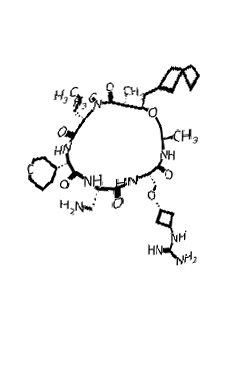 CCC[C@H]1C(=O)N[C@@H](C2CCCCCC2)C(=O)N[C@@H](CN)C(=O)N[C@@H](CO[C@H]2C[C@H](NC(=N)N)C2)C(=O)N[C@H](C)CO[C@H](CC2CC3(CCC3)C2)[C@@H](C)C(=O)N1C